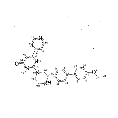 CCOc1ccc(-c2ccc([C@H]3CN(c4nc(-c5ccncn5)cc(=O)n4C)CCN3)cc2)cc1